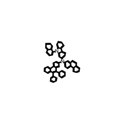 c1ccc(-c2c(-c3ccccc3)c3cc(N(c4ccc5c(ccc6ccccc65)c4)c4ccc5c6ccccc6n(-c6cccc7ccccc67)c5c4)ccc3c3ccccc23)cc1